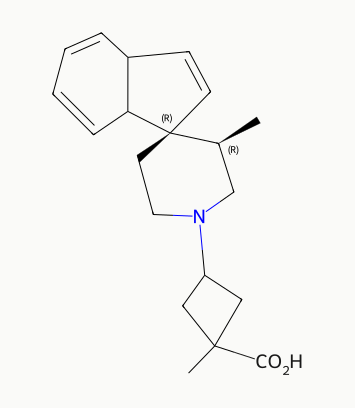 C[C@H]1CN(C2CC(C)(C(=O)O)C2)CC[C@@]12C=CC1C=CC=CC12